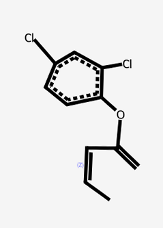 C=C(/C=C\C)Oc1ccc(Cl)cc1Cl